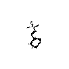 C[Si](C)(F)C=Cc1ccccc1